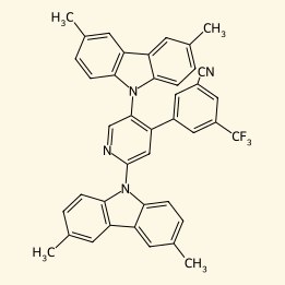 Cc1ccc2c(c1)c1cc(C)ccc1n2-c1cc(-c2cc(C#N)cc(C(F)(F)F)c2)c(-n2c3ccc(C)cc3c3cc(C)ccc32)cn1